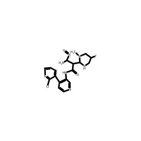 CN1CC(F)CNC1C(C(=O)Nc1cnccc1-c1cccnc1Cl)C(N)N=O